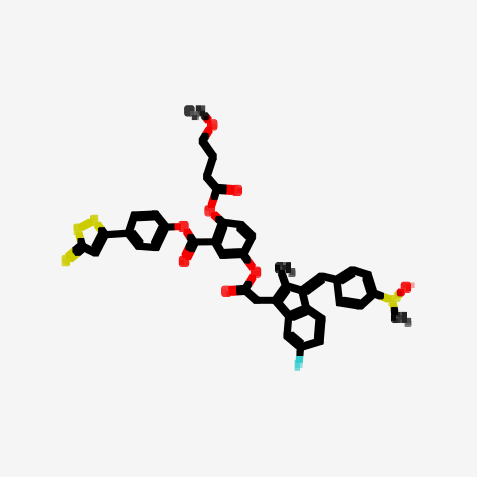 CC1=C(CC(=O)Oc2ccc(OC(=O)CCCO[N+](=O)[O-])c(C(=O)Oc3ccc(-c4cc(=S)ss4)cc3)c2)c2cc(F)ccc2C1=Cc1ccc([S+](C)[O-])cc1